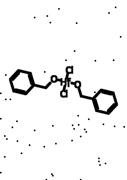 [Cl][Hf]([Cl])([O]Cc1ccccc1)[O]Cc1ccccc1